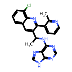 Cc1ncccc1-c1nc2c(Cl)cccc2cc1C(C)Nc1ncnc2[nH]cnc12